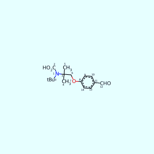 CC(C)(C)N(C(=O)O)C(C)(C)COc1ccc(C=O)cc1